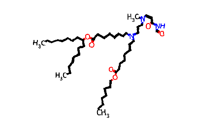 CCCCCCCCOC(=O)CCCCCCCN(CCCCCCCC(=O)OC(CCCCCCCC)CCCCCCCC)CCCN(C)/C=C\C(=O)NC=O